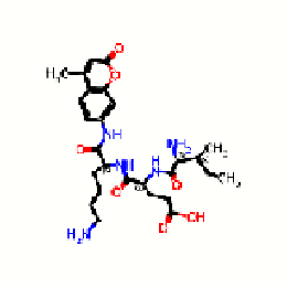 CC[C@H](C)[C@H](N)C(=O)N[C@@H](CCC(=O)O)C(=O)N[C@@H](CCCCN)C(=O)Nc1ccc2c(C)cc(=O)oc2c1